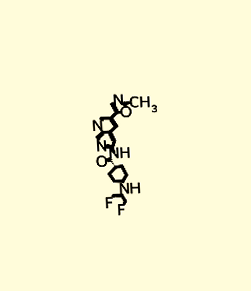 Cc1ncc(-c2cnc3cnc(NC(=O)[C@H]4CC[C@H](NC(CF)CF)CC4)cc3c2)o1